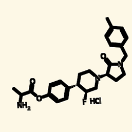 Cc1ccc(CN2CC[C@@H](N3CC[C@@H](c4ccc(OC(=O)C(C)N)cc4)[C@H](F)C3)C2=O)cc1.Cl